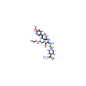 CCCOCCn1c(=O)c(NCCN2CCC(C(N)=O)CC2)nc2cnc(-c3ccc(OC)nc3)cc21